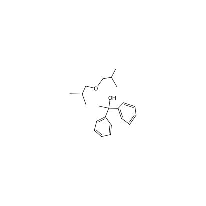 CC(C)COCC(C)C.CC(O)(c1ccccc1)c1ccccc1